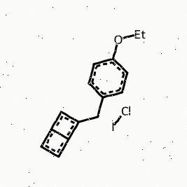 CCOc1ccc(Cc2cc3ccc2-3)cc1.ClI